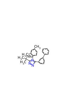 CCCCC(C)(C)c1nnc(-c2cccc(-c3ccccc3)c2)n1-c1ccc(C)cc1C